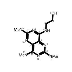 CNc1nc(NCCO)c2nc(NC)nc(NC)c2n1